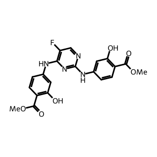 COC(=O)c1ccc(Nc2ncc(F)c(Nc3ccc(C(=O)OC)c(O)c3)n2)cc1O